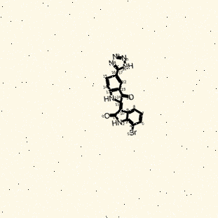 O=C1Nc2c(Br)cccc2/C1=C1/Nc2ccc(-c3nnn[nH]3)cc2C1=O